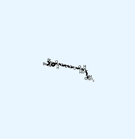 C[C@H](CCCNC(N)=O)NC(=O)CNC(=O)CCOCCOCCOCCOCCNC(=O)c1ccc2nc(CBr)c(CBr)nc2c1